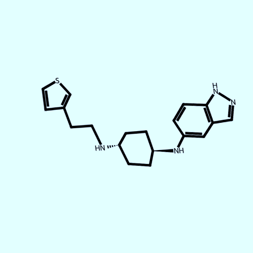 c1cc(CCN[C@H]2CC[C@H](Nc3ccc4[nH]ncc4c3)CC2)cs1